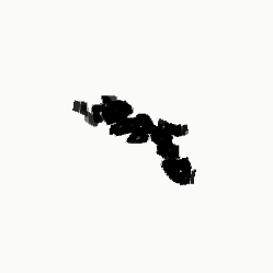 COc1cc2nn(C3CCNCC3)cc2cc1N1CCn2c(cnc2-c2ccnc(C)c2)C1=O